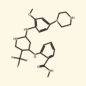 CNC(=O)c1ccccc1NC1CC(Nc2ccc(N3CCNCC3)cc2OC)NCC1C(F)(F)F